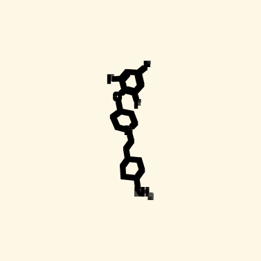 NC1CCC(CCN2CCC(Oc3c(F)cc(F)cc3F)CC2)CC1